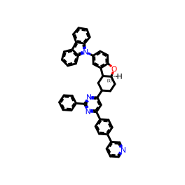 c1ccc(-c2nc(-c3ccc(-c4cccnc4)cc3)cc(C3CC[C@@H]4Oc5ccc(-n6c7ccccc7c7ccccc76)cc5C4C3)n2)cc1